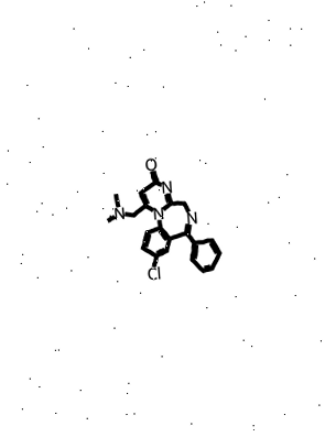 CN(C)Cc1cc(=O)nc2n1-c1ccc(Cl)cc1C(c1ccccc1)=NC2